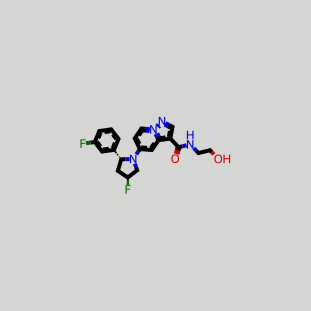 O=C(NCCO)c1cnn2ccc(N3C[C@@H](F)C[C@@H]3c3cccc(F)c3)cc12